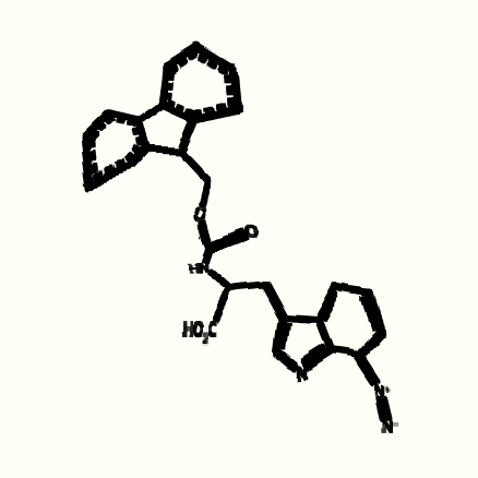 [N-]=[N+]=C1C=CC=C2C(CC(NC(=O)OCC3c4ccccc4-c4ccccc43)C(=O)O)=CN=C21